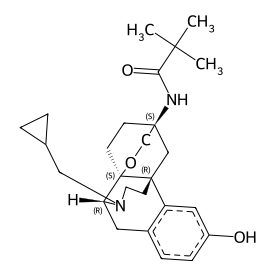 CC(C)(C)C(=O)N[C@]12CC[C@@]3(OC1)[C@H]1Cc4ccc(O)cc4[C@@]3(CCN1CC1CC1)C2